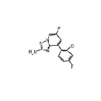 Nc1nc2c(-c3ccc(F)cc3Cl)cc(F)cn2n1